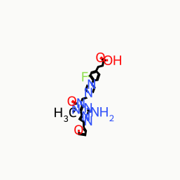 Cn1c(=O)n(CCN2CCN(c3ccc(CCC(=O)O)cc3F)CC2)c2nc(N)n3nc(-c4ccco4)cc3c21